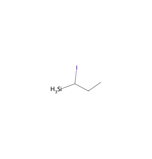 CCC([SiH3])I